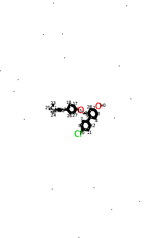 COc1ccc(-c2ccc(Cl)cc2)c(COc2ccc(C#C[Si](C)(C)C)cc2)c1